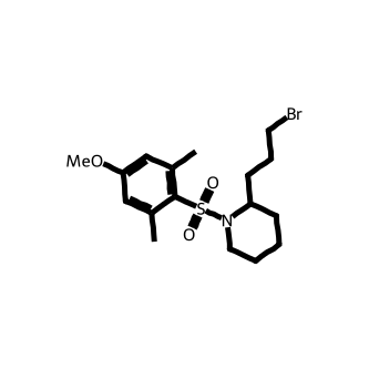 COc1cc(C)c(S(=O)(=O)N2CCCCC2CCCBr)c(C)c1